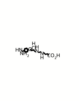 Cl.N=C(N)c1ccc(OCCCNCCNCCCC(=O)O)cc1